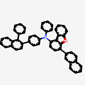 c1ccc(-c2c(-c3ccc(N(c4ccccc4)c4ccc(-c5ccc6ccccc6c5)c5oc6ccccc6c45)cc3)ccc3ccccc23)cc1